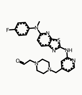 CN(c1ccc(F)cc1)c1ccc2nc(Nc3cc(CN4CCN(CC=O)CC4)ccn3)sc2n1